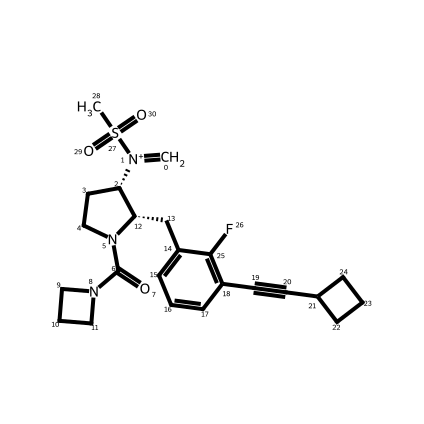 C=[N+]([C@H]1CCN(C(=O)N2CCC2)[C@H]1Cc1cccc(C#CC2CCC2)c1F)S(C)(=O)=O